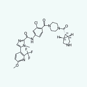 COc1ccc(-c2cnc(C(=O)Nc3ccc(C(=O)N4CCN(C(=O)[C@@H]5[C@@H]6CNC[C@@H]65)CC4)c(Cl)c3)n2C)c(C(F)(F)F)n1